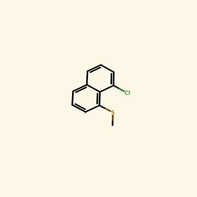 CSc1[c]ccc2cccc(Cl)c12